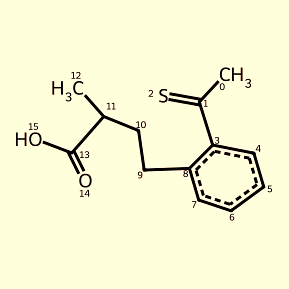 CC(=S)c1ccccc1CCC(C)C(=O)O